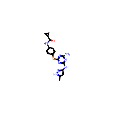 Cc1cc(Nc2nc(N)nc(Sc3ccc(NC(=O)C4CC4)cc3)n2)n[nH]1